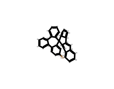 Brc1ccc2c(c1)C1(c3ccccc3-c3ccccc3-2)c2ccccc2-c2cc3ccccc3cc21